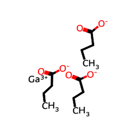 CCCC(=O)[O-].CCCC(=O)[O-].CCCC(=O)[O-].[Ga+3]